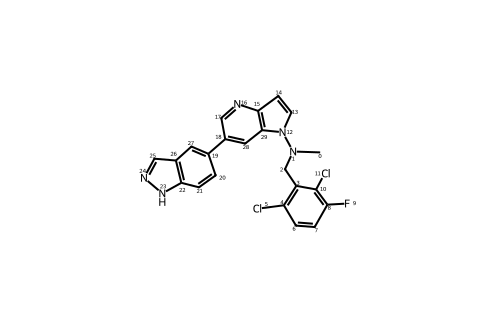 CN(Cc1c(Cl)ccc(F)c1Cl)n1ccc2ncc(-c3ccc4[nH]ncc4c3)cc21